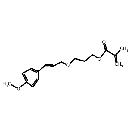 C=C(C)C(=O)OCCCOCC=Cc1ccc(OC)cc1